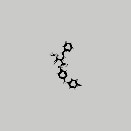 Cc1ccc(Oc2ccc(NC(=O)C(CCc3ccccc3)C(=O)NO)cc2)cc1